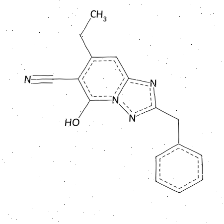 CCc1cc2nc(Cc3ccccc3)nn2c(O)c1C#N